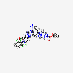 CC(C)(C)OC(=O)N1CCN(c2ccc(Nc3ncc4c(=O)n(-c5c(Cl)cccc5Cl)ccc4n3)cc2)CC1